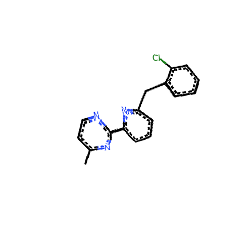 Cc1ccnc(-c2cccc(Cc3ccccc3Cl)n2)n1